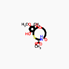 COC(=O)[C@@H]1CSCc2c(O)cc(OC)c(C)c2C(=O)OCCCCC(=O)N1